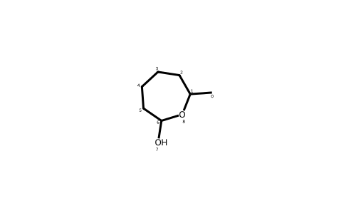 CC1CCCCC(O)O1